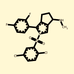 CNC1CCc2c1cn(S(=O)(=O)c1cc(Cl)ccc1Cl)c2-c1ccc(F)cc1F